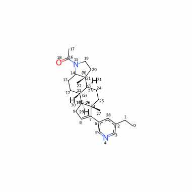 CCc1cncc(C2=CC[C@H]3[C@@H]4CCC5N(C(C)=O)CC[C@]5(C)[C@H]4CC[C@]23C)c1